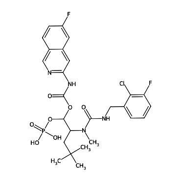 CN(C(=O)NCc1cccc(F)c1Cl)C(CC(C)(C)C)C(OC(=O)Nc1cc2cc(F)ccc2cn1)OP(=O)(O)O